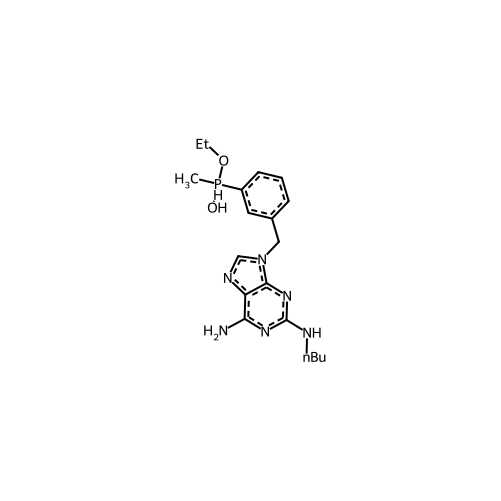 CCCCNc1nc(N)c2ncn(Cc3cccc([PH](C)(O)OCC)c3)c2n1